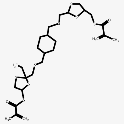 C=C(C)C(=O)SCC1CSC(CSCC2CCC(CSCC3(CC)SCC(SC(=O)C(=C)C)S3)CC2)S1